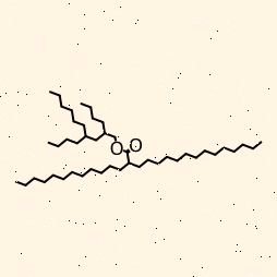 CCCCCCCCCCCCCCC(CCCCCCCCCCCC)C(=O)OCC(CCCC)CC(CCCC)CCCCCC